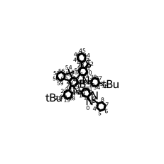 Cn1c(-c2ccccc2)nc2cc3c(cc21)-n1c2ccc(C(C)(C)C)cc2c2c4c(c5c(c21)B3N(c1ccc(C(C)(C)C)cc1)c1cc2sc3ccccc3c2cc1-5)C(C)(C)c1ccccc1-4